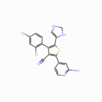 N#Cc1c(-c2ccnc(N)c2)sc(C2=CNCN2)c1-c1ccc(Cl)cc1Cl